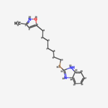 Cc1cc(CCCCCCCSc2nc3ccccc3[nH]2)on1